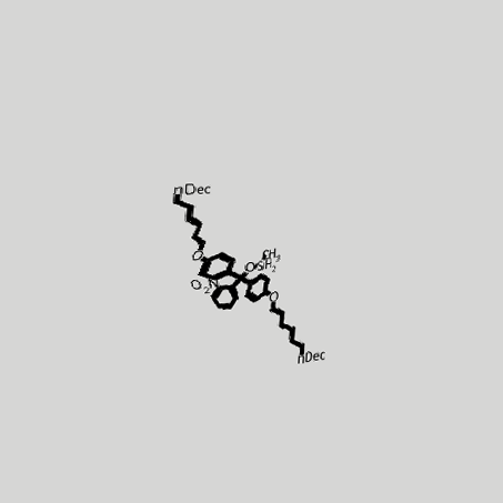 CCCCCCCCCCCCCCCCOc1ccc(C(O[SiH2]C)(c2ccc(OCCCCCCCCCCCCCCCC)cc2)c2ccccc2[N+](=O)[O-])cc1